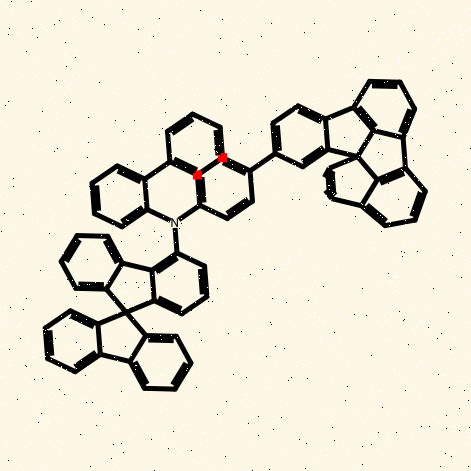 c1ccc(-c2ccccc2N(c2ccc(-c3ccc4c(c3)C35c6ccccc6-c6cccc(c63)-c3cccc-4c35)cc2)c2cccc3c2-c2ccccc2C32c3ccccc3-c3ccccc32)cc1